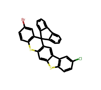 Clc1ccc2sc3cc4c(cc3c2c1)C1(c2cc(Br)ccc2S4)c2ccccc2-c2ccccc21